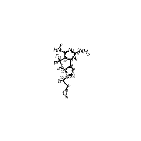 CNc1nc(N)nc(-c2cnn([C@H](C)COC)c2C)c1C(F)(F)F